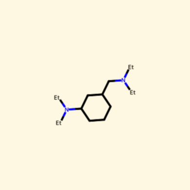 CCN(CC)CC1CCCC(N(CC)CC)C1